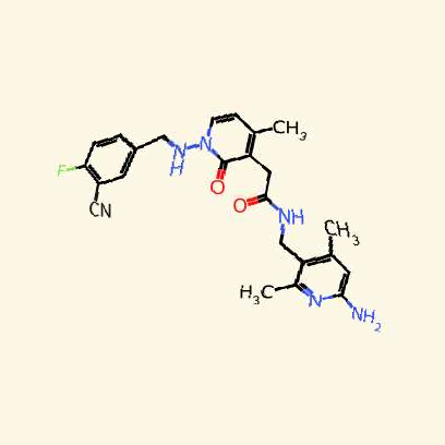 Cc1cc(N)nc(C)c1CNC(=O)Cc1c(C)ccn(NCc2ccc(F)c(C#N)c2)c1=O